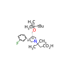 CC(C)(CC(=O)O)N1C[C@@H](CO[Si](C)(C)C(C)(C)C)[C@@H](c2cccc(F)c2)C1